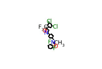 CS(=O)(=NCc1ccc(C2=NOC(c3cc(Cl)cc(Cl)c3)(C(F)(F)F)C2)cc1)c1c(F)cccc1F